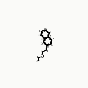 CCOCCc1ccc2ccccc2c1